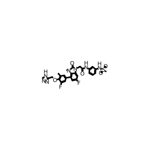 Cc1cc(-c2cc(F)cc3c2n(C)c(=O)n3CC(=O)Nc2cccc(NS(C)(=O)=O)c2)cc(F)c1OCc1nnc[nH]1